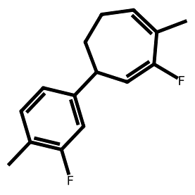 CC1=CCCC(c2ccc(C)c(F)c2)C=C1F